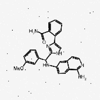 COc1cccc(C(Nc2ccc3c(N)nccc3c2)c2nc(-c3ccccc3C(N)=O)c[nH]2)c1